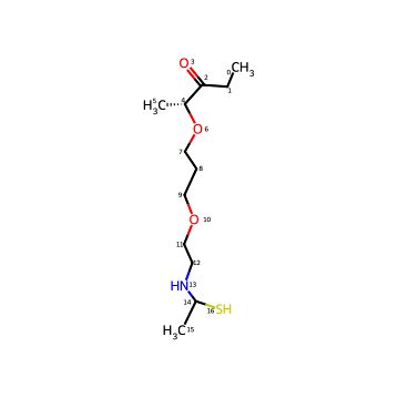 CCC(=O)[C@@H](C)OCCCOCCNC(C)S